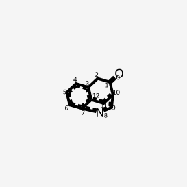 O=C1Cc2cccc3ncc1cc23